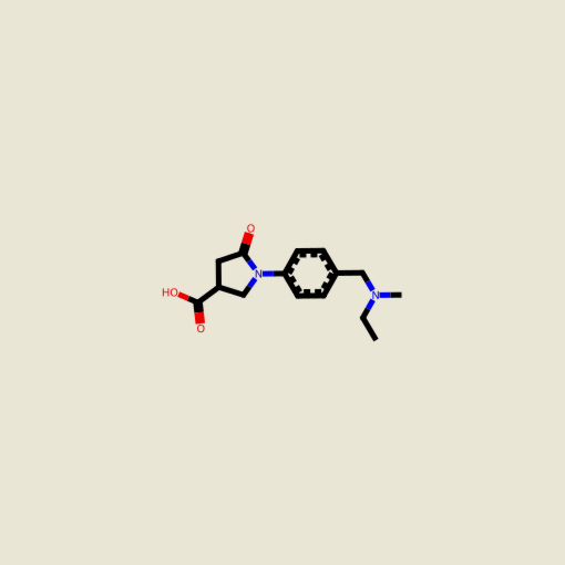 CCN(C)Cc1ccc(N2CC(C(=O)O)CC2=O)cc1